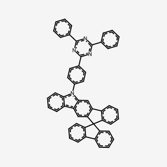 c1ccc(-c2nc(-c3ccccc3)nc(-c3ccc(-n4c5ccccc5c5cc6c(cc54)-c4ccccc4C64c5ccccc5-c5ccccc54)cc3)n2)cc1